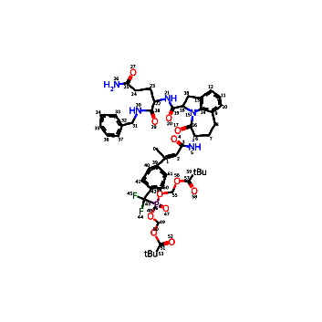 C/C(=C\C(=O)N[C@H]1CCc2cccc3c2N(C1=O)C(C(=O)NC(CCC(N)=O)C(=O)NCc1ccccc1)C3)c1ccc(C(F)(F)P(=O)(OCOC(=O)C(C)(C)C)OCOC(=O)C(C)(C)C)cc1